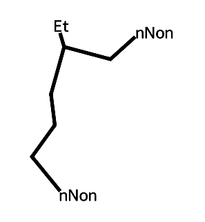 CCCCCCCCCCCCC(CC)CCCCCCCCCC